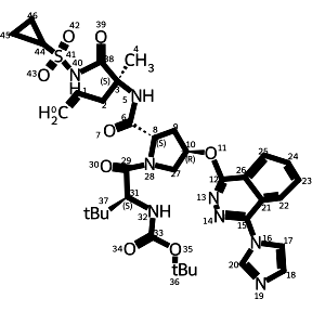 C=CC[C@](C)(NC(=O)[C@@H]1C[C@@H](Oc2nnc(-n3ccnc3)c3ccccc23)CN1C(=O)[C@@H](NC(=O)OC(C)(C)C)C(C)(C)C)C(=O)NS(=O)(=O)C1CC1